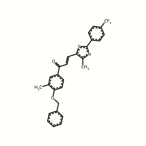 Cc1cc(C(=O)C=Cc2sc(-c3ccc(C(F)(F)F)cc3)nc2C)ccc1OCc1ccccc1